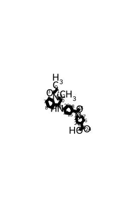 CCC(=O)N1c2ccccc2[C@H](Nc2ccc(C(=O)N3CCC(C(=O)O)CC3)cc2)C[C@@H]1C